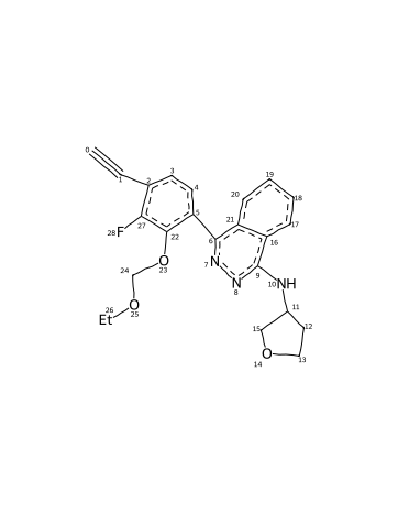 C#Cc1ccc(-c2nnc(NC3CCOC3)c3ccccc23)c(OCOCC)c1F